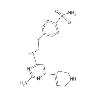 Nc1nc(NCCc2ccc(S(N)(=O)=O)cc2)cc(C2=CCNCC2)n1